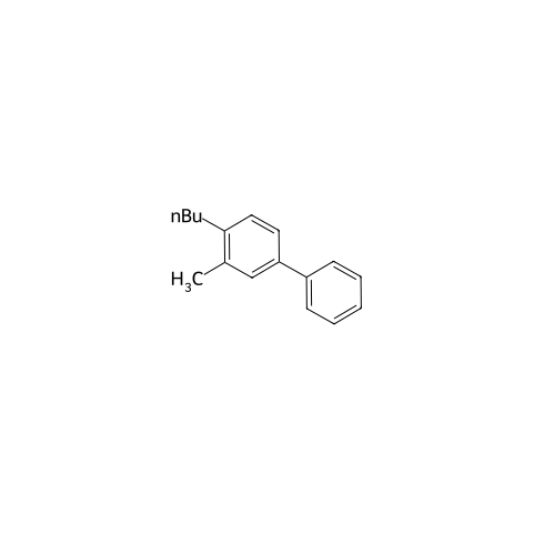 CCCCc1ccc(-c2ccccc2)cc1C